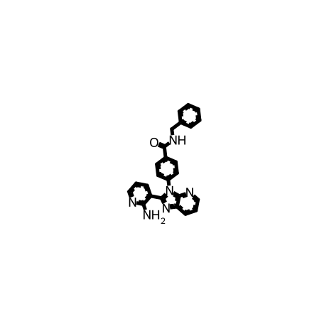 Nc1ncccc1-c1nc2cccnc2n1-c1ccc(C(=O)NCc2ccccc2)cc1